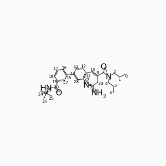 CCCN(CCC)C(=O)C1=Cc2ccc(-c3cccc(C(=O)NC(C)(C)C)c3)cc2N=C(N)C1